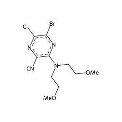 [C-]#[N+]c1nc(Cl)c(Br)nc1N(CCOC)CCOC